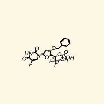 O=c1[nH]c(=O)n([C@H]2C[C@H](OCc3ccccc3)[C@@H]([C@@H](OP(=O)(O)O)C(F)(F)F)O2)cc1F